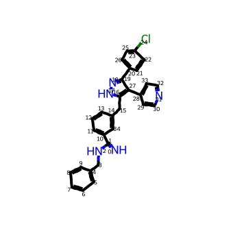 N=C(NCc1ccccc1)c1cccc(Cc2[nH]nc(-c3ccc(Cl)cc3)c2-c2ccncc2)c1